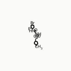 Cc1ccc(CCS(=O)(=O)NCC(=O)Nc2ccc(Br)cc2F)cc1